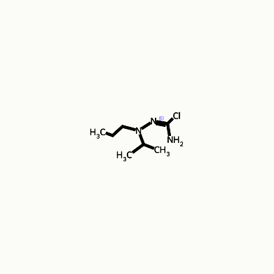 CCCN(/N=C(\N)Cl)C(C)C